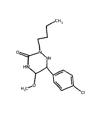 CCCCN1NC(c2ccc(Cl)cc2)C(OC)NC1=O